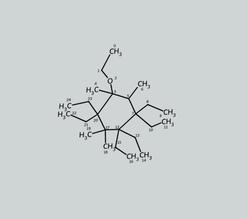 CCOC1(C)C(C)C(CC)(CC)C(CC)(CC)C(C)(C)C1(CC)CC